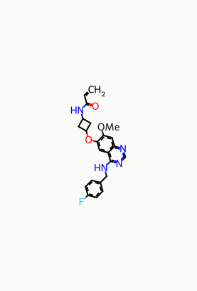 C=CC(=O)NC1CC(Oc2cc3c(NCc4ccc(F)cc4)ncnc3cc2OC)C1